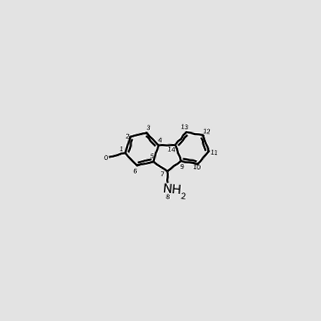 Cc1ccc2c(c1)C(N)c1ccccc1-2